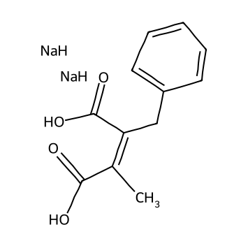 C/C(C(=O)O)=C(\Cc1ccccc1)C(=O)O.[NaH].[NaH]